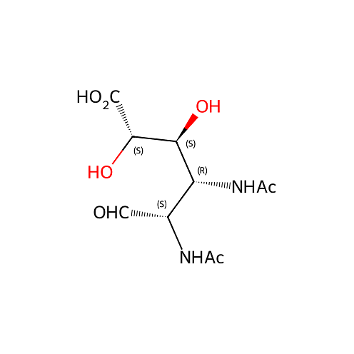 CC(=O)N[C@@H]([C@H](O)[C@H](O)C(=O)O)[C@@H](C=O)NC(C)=O